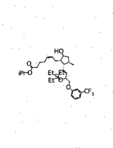 CC[Si](CC)(CC)OC(/C=C/[C@@H]1[C@@H](C/C=C\CCCC(=O)OC(C)C)[C@@H](O)C[C@H]1C)COc1cccc(C(F)(F)F)c1